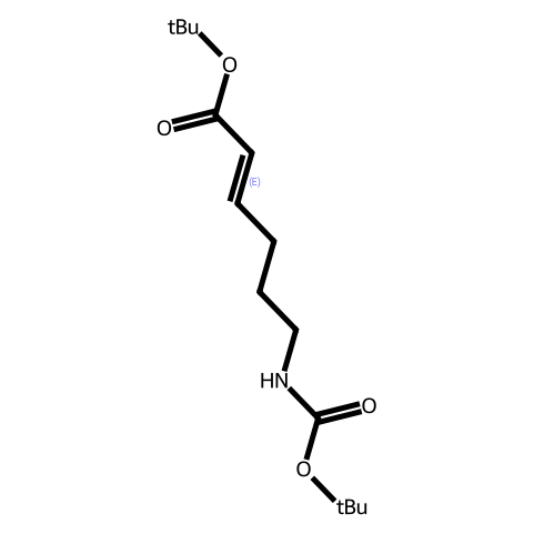 CC(C)(C)OC(=O)/C=C/CCCNC(=O)OC(C)(C)C